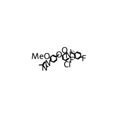 COc1cc(Oc2cc(Cl)cn([C@@H](C)c3ccc(F)cc3F)c2=O)ccc1-n1cnc(C)c1